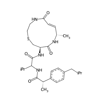 CC(C)Cc1ccc([C@H](C)C(=O)NC(C(=O)N[C@H]2CSCCNC(=O)/C=C/[C@H](C)NC2=O)C(C)C)cc1